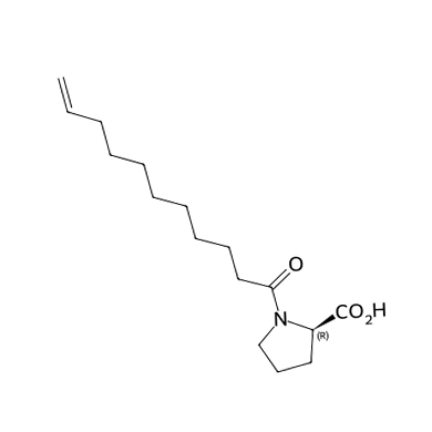 C=CCCCCCCCCC(=O)N1CCC[C@@H]1C(=O)O